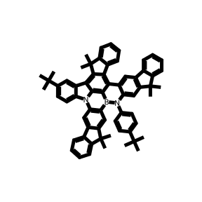 CC(C)(C)c1ccc(N2B3c4cc5c(cc4-n4c6ccc(C(C)(C)C)cc6c6c7c(c(c3c64)-c3cc4c(cc32)C(C)(C)c2ccccc2-4)-c2ccccc2C7(C)C)-c2ccccc2C5(C)C)cc1